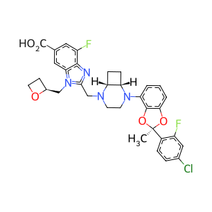 C[C@@]1(c2ccc(Cl)cc2F)Oc2cccc(N3CCN(Cc4nc5c(F)cc(C(=O)O)cc5n4C[C@@H]4CCO4)[C@@H]4CC[C@@H]43)c2O1